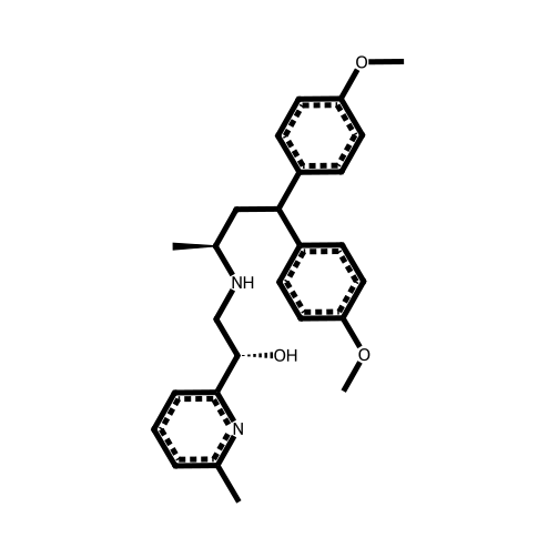 COc1ccc(C(C[C@H](C)NC[C@H](O)c2cccc(C)n2)c2ccc(OC)cc2)cc1